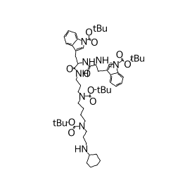 CC(C)(C)OC(=O)N(CCCCN(CCCNC1CCCCC1)C(=O)OC(C)(C)C)CCCNC(=O)C(Cc1cn(C(=O)OC(C)(C)C)c2ccccc12)NC(=O)C(N)Cc1cn(C(=O)OC(C)(C)C)c2ccccc12